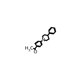 CC(=O)c1ccc(N2CCC(c3ccccc3)CC2)cc1